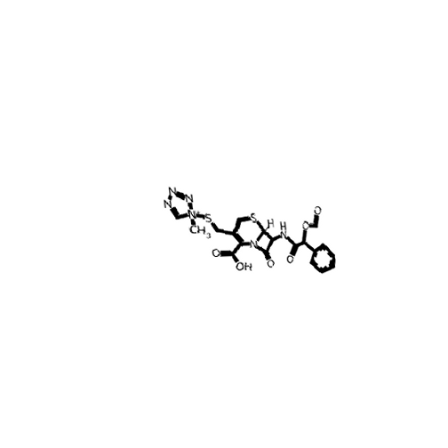 C[N+]1(SCC2=C(C(=O)O)N3C(=O)C(NC(=O)C(OC=O)c4ccccc4)[C@@H]3SC2)C=NN=N1